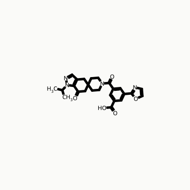 CC(C)n1ncc2c1C(=O)CC1(CCN(C(=O)c3cc(C(=O)O)cc(-c4ncco4)c3)CC1)C2